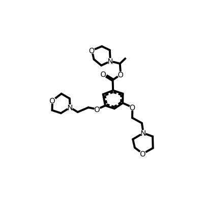 CC(OC(=O)c1cc(OCCN2CCOCC2)cc(OCCN2CCOCC2)c1)N1CCOCC1